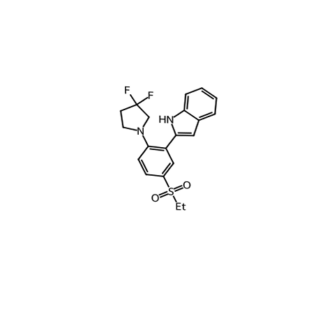 CCS(=O)(=O)c1ccc(N2CCC(F)(F)C2)c(-c2cc3ccccc3[nH]2)c1